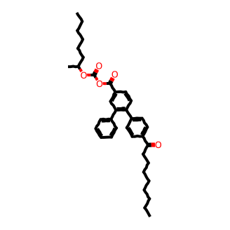 CCCCCCCCC(=O)c1ccc(-c2ccc(C(=O)OC(=O)OC(C)CCCCCC)cc2-c2ccccc2)cc1